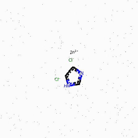 [Cl-].[Cl-].[Zn+2].c1c[nH]cn1